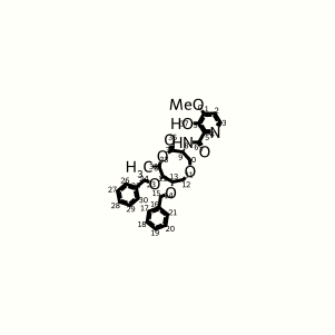 COc1ccnc(C(=O)N[C@@H]2COC[C@H](OCc3ccccc3)[C@@H](OCc3ccccc3)[C@@H](C)OC2=O)c1O